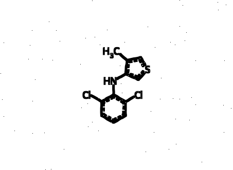 Cc1cscc1Nc1c(Cl)cccc1Cl